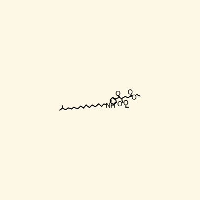 CCOC(=O)CCC(C(=O)OCC)C(=O)c1ccc(NCCCCCCCCCCCCCCC(C)C)cc1